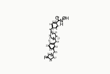 C[C@@H]1CN(Cc2ccc(C(=O)NO)cc2)C[C@H](C)N1Cc1cccc(CN2CCC(F)C2)c1